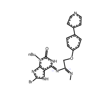 CCCCn1c(=O)[nH]/c(=N\C(COc2ccc(-c3ccncc3)cc2)=N/C)c2[nH]c(Br)nc21